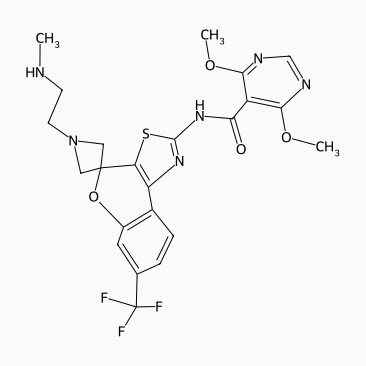 CNCCN1CC2(C1)Oc1cc(C(F)(F)F)ccc1-c1nc(NC(=O)c3c(OC)ncnc3OC)sc12